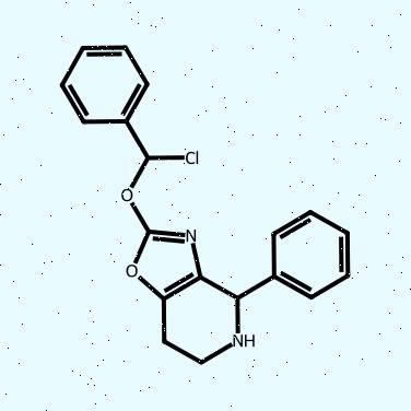 ClC(Oc1nc2c(o1)CCNC2c1ccccc1)c1ccccc1